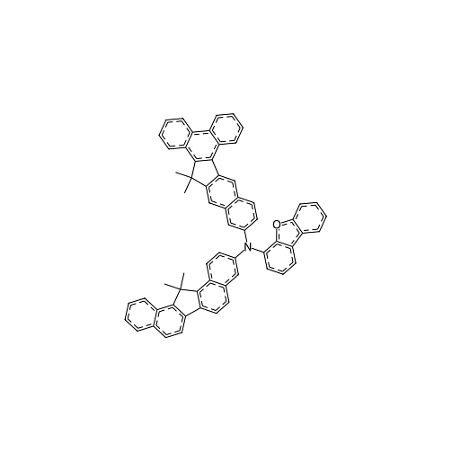 CC1(C)c2c(ccc3ccccc23)-c2ccc3cc(N(c4ccc5cc6c(cc5c4)C(C)(C)c4c-6c5ccccc5c5ccccc45)c4cccc5c4oc4ccccc45)ccc3c21